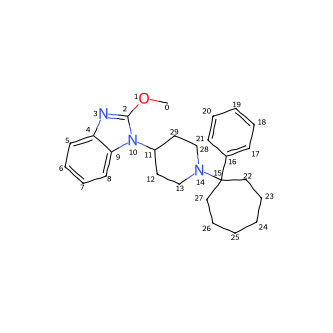 COc1nc2ccccc2n1C1CCN(C2(c3ccccc3)CCCCCC2)CC1